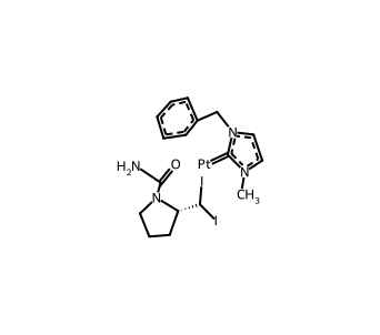 Cn1ccn(Cc2ccccc2)[c]1=[Pt].NC(=O)N1CCC[C@H]1C(I)I